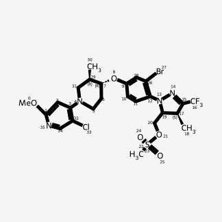 COc1cc(N2CC[C@@H](Oc3ccc(N4N=C(C(F)(F)F)[C@@H](C)C4COS(C)(=O)=O)c(Br)c3)[C@H](C)C2)c(Cl)cn1